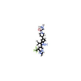 Cc1cn2cc(-c3[nH]c4ccc(C5CCN(C(=O)CN(C)C)CC5)cc4c3C(C)C)cc(C(F)(F)F)c2n1